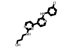 OCCCNc1nccc(-c2ccnc(Nc3cccc(Cl)c3)c2)n1